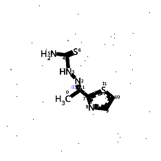 C/C(=N\NC(N)=S)c1nccs1